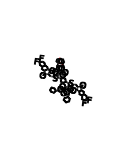 O=C1C(=Cc2cc3c(s2)-c2cc4c(cc2OC3(C(=O)OCc2ccccc2)C(=O)OCc2ccccc2)-c2sc(C=C3C(=O)c5cc6cc(F)c(F)cc6cc5C3=O)cc2C(C(=O)OCc2ccccc2)(C(=O)OCc2ccccc2)O4)C(=O)c2cc3cc(F)c(F)cc3cc21